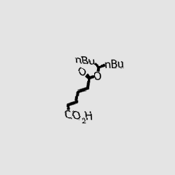 CCCCC(CCCC)OC(=O)CCCCC(=O)O